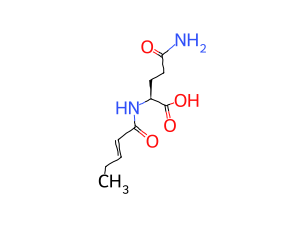 CCC=CC(=O)N[C@@H](CCC(N)=O)C(=O)O